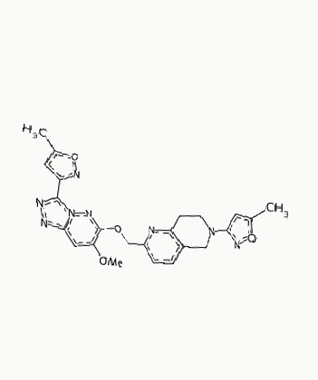 COc1cc2nnc(-c3cc(C)on3)n2nc1OCc1ccc2c(n1)CCN(c1cc(C)on1)C2